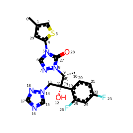 Cc1csc(-n2cnn([C@H](C)[C@](O)(Cn3cncn3)c3ccc(F)cc3F)c2=O)c1